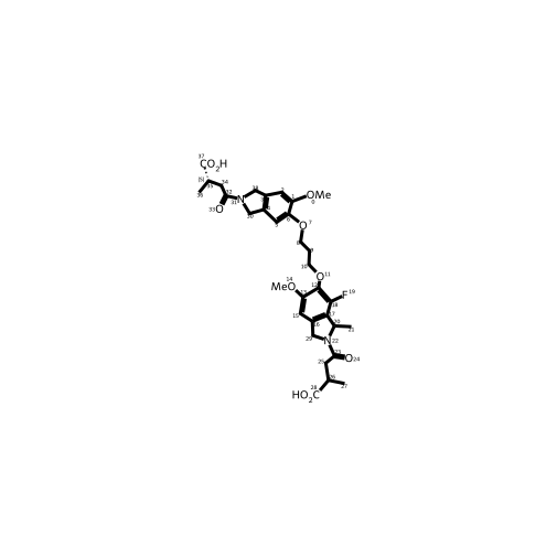 COc1cc2c(cc1OCCCOc1c(OC)cc3c(c1F)C(C)N(C(=O)CC(C)C(=O)O)C3)CN(C(=O)C[C@H](C)C(=O)O)C2